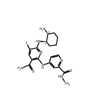 CNC(=O)c1cc(Nc2nc(N[C@@H]3CCCC[C@@H]3N)c(F)cc2C(N)=O)ccn1